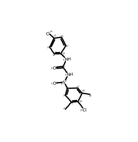 Cc1cc([S+]([O-])NC(=O)Nc2ccc(Cl)cc2)cc(C)c1Cl